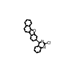 Clc1nc(-c2ccc3c(c2)oc2c4ccccc4ccc32)c2ccccc2n1